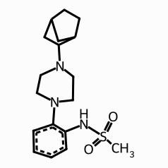 CS(=O)(=O)Nc1ccccc1N1CCN(C2CC3CCC2C3)CC1